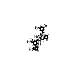 CCNc1cc(C(=O)N[C@@H](Cc2ccccc2)[C@@H](O)CNCc2cc(Br)cc(Br)c2)cc(N2CCCS2(O)O)c1